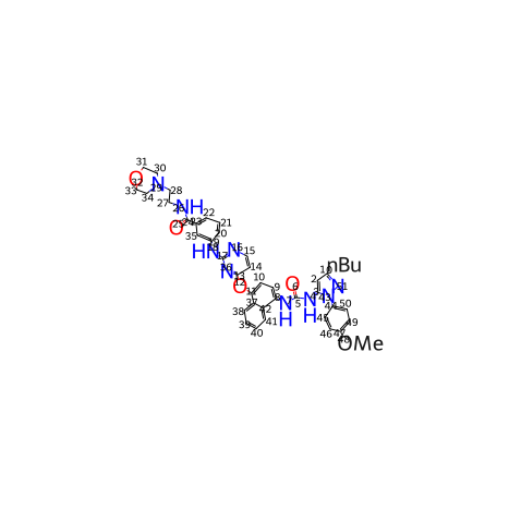 CCCCc1cc(NC(=O)Nc2ccc(Oc3ccnc(Nc4cccc(C(=O)NCCN5CCOCC5)c4)n3)c3ccccc23)n(-c2ccc(OC)cc2)n1